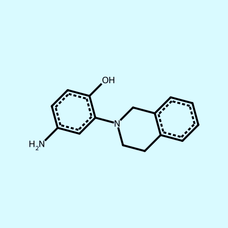 Nc1ccc(O)c(N2CCc3ccccc3C2)c1